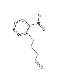 O=CCCCc1ccccc1[N+](=O)[O-]